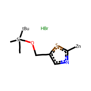 Br.CC(C)(C)[Si](C)(C)OCc1cn[c]([Zn])s1